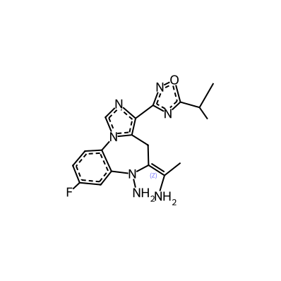 C/C(N)=C1\Cc2c(-c3noc(C(C)C)n3)ncn2-c2ccc(F)cc2N1N